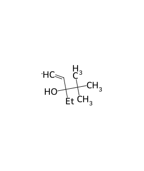 [CH]=CC(O)(CC)C(C)(C)C